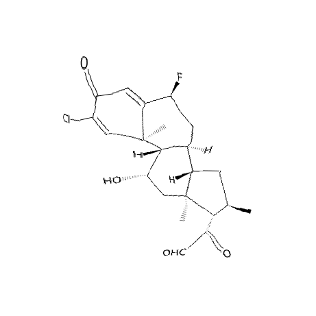 C[C@@H]1C[C@H]2[C@@H]3C[C@H](F)C4=CC(=O)C(Cl)=C[C@]4(C)[C@H]3[C@@H](O)C[C@]2(C)[C@H]1C(=O)C=O